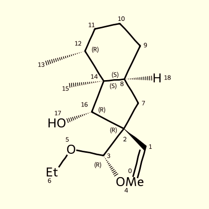 C=C[C@]1([C@H](OC)OCC)C[C@@H]2CCC[C@@H](C)[C@]2(C)[C@H]1O